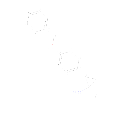 CC[C@@]1(N)C[C@H]1c1ccc(OCc2ccccc2)cc1